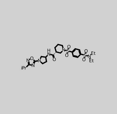 CCN(CC)S(=O)(=O)c1ccc(S(=O)(=O)N2CCC[C@@H](C(=O)NC3CCN(c4nc(C(C)C)no4)C3)C2)cc1